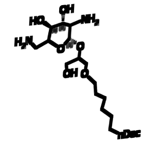 CCCCCCCCCCCCCCCCOCC(CO)O[C@@H]1OC(CN)[C@@H](O)[C@H](O)C1N